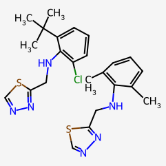 CC(C)(C)c1cccc(Cl)c1NCc1nncs1.Cc1cccc(C)c1NCc1nncs1